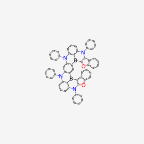 c1ccc(N2c3cc4c(cc3B3c5c2cccc5N(c2ccccc2)c2oc5ccccc5c23)B2c3oc5ccccc5c3N(c3ccccc3)c3cccc(c32)N4c2ccccc2)cc1